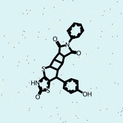 O=C1C2C(C(=O)N1c1ccccc1)C1C3C(c4ccc(O)cc4)c4sc(=O)[nH]c4SC3C21